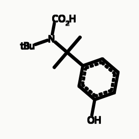 CC(C)(C)N(C(=O)O)C(C)(C)c1cccc(O)c1